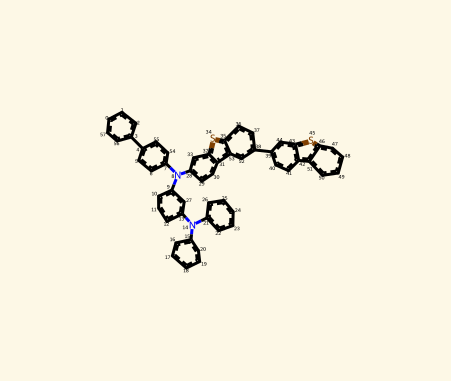 c1ccc(-c2ccc(N(c3cccc(N(c4ccccc4)c4ccccc4)c3)c3ccc4c(c3)sc3ccc(-c5ccc6c(c5)sc5ccccc56)cc34)cc2)cc1